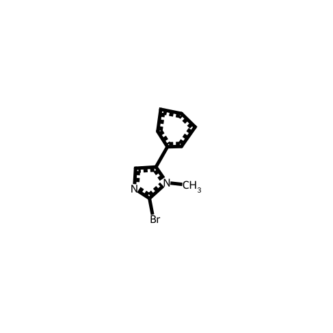 Cn1c(-c2ccccc2)cnc1Br